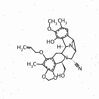 C=CCOc1c(C)c2c(c3c1CC1[C@H]4c5c(cc(C)c(OC)c5O)C5C([C@H](C#N)N1[C@H]3CO)N54)OCO2